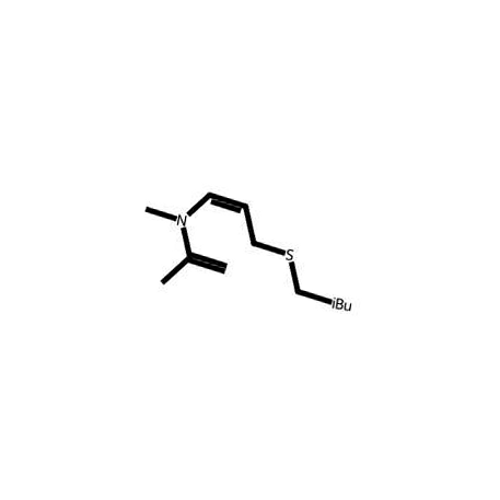 C=C(C)N(C)/C=C\CSCC(C)CC